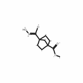 COC(=O)C12CCC(/C(Cl)=N/O)(CC1)C2